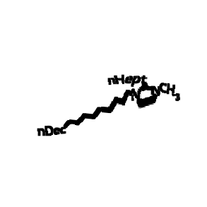 CCCCCCCCCCCCCCCCCCCN1C=CN(C)C1CCCCCCC